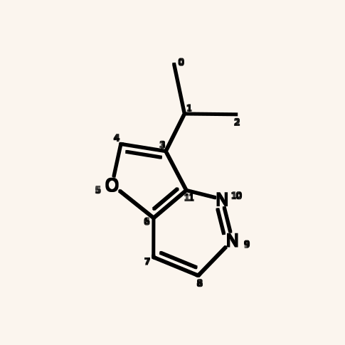 CC(C)c1coc2ccnnc12